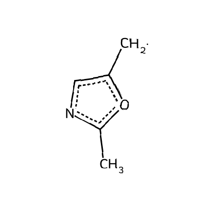 [CH2]c1cnc(C)o1